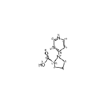 O=C(O)[C@@H]1CCCN1c1ccncn1